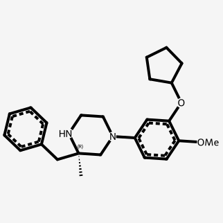 COc1ccc(N2CCN[C@](C)(Cc3ccccc3)C2)cc1OC1CCCC1